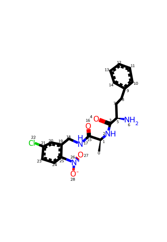 C[C@H](NC(=O)[C@H](N)CCc1ccccc1)C(=O)NCc1cc(Cl)ccc1[N+](=O)[O-]